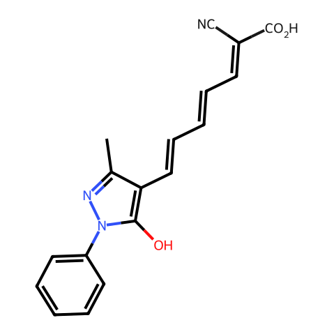 Cc1nn(-c2ccccc2)c(O)c1/C=C/C=C/C=C(\C#N)C(=O)O